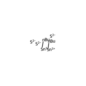 CCC[CH2][Sn+3].CCC[CH2][Sn+3].[S-2].[S-2].[S-2]